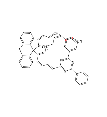 C=C/C=C\C(=C)C1(C(/C=C\C=C\c2nc(-c3ccccc3)nc(-c3ccccc3)n2)=C\CC/C=C\C=C\C#N)c2ccccc2Sc2ccccc21